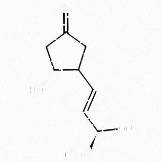 CCCCC[C@H](O)/C=C/C1CC(=O)C[C@H]1O